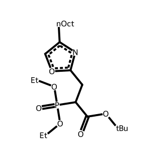 CCCCCCCCc1coc(CC(C(=O)OC(C)(C)C)P(=O)(OCC)OCC)n1